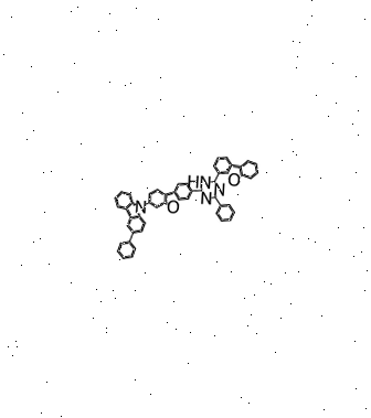 c1ccc(C2=NC(c3cccc4c3oc3ccccc34)NC(c3ccc4c(c3)oc3cc(-n5c6ccccc6c6cc(-c7ccccc7)ccc65)ccc34)=N2)cc1